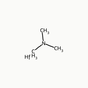 CN(C)C.[Hf]